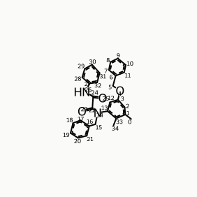 Cc1cc(OCc2ccccc2)cc(N(Cc2ccccc2)C(=O)C(=O)Nc2ccccc2)c1C